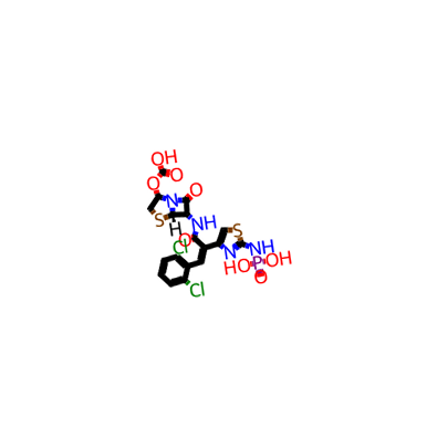 O=C(O)OC1CS[C@H]2C(NC(=O)/C(=C\c3c(Cl)cccc3Cl)c3csc(NP(=O)(O)O)n3)C(=O)N12